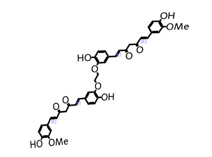 COc1cc(/C=C/C(=O)CC(=O)/C=C/c2ccc(O)c(OCCOc3cc(/C=C/C(=O)CC(=O)/C=C/c4ccc(O)c(OC)c4)ccc3O)c2)ccc1O